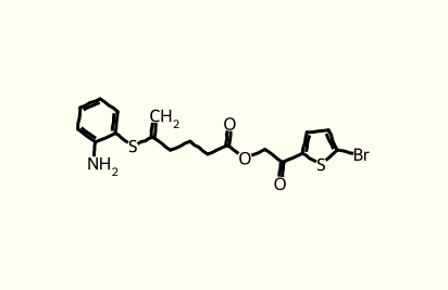 C=C(CCCC(=O)OCC(=O)c1ccc(Br)s1)Sc1ccccc1N